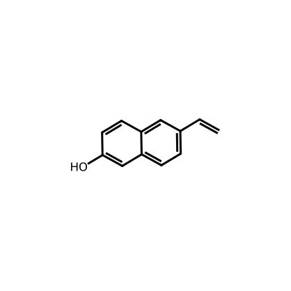 C=Cc1ccc2cc(O)ccc2c1